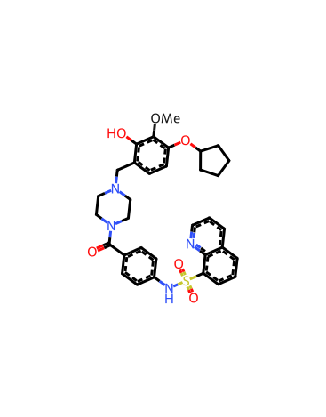 COc1c(OC2CCCC2)ccc(CN2CCN(C(=O)c3ccc(NS(=O)(=O)c4cccc5cccnc45)cc3)CC2)c1O